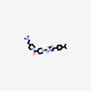 CC(C)c1ccc(-c2cn3nc(N4CCC(C(=O)N5CCC(CCN(C)C)CC5)CC4)sc3n2)cc1